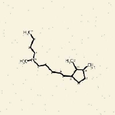 CCCCN(C)CCCCCC1CCC(C)C1C